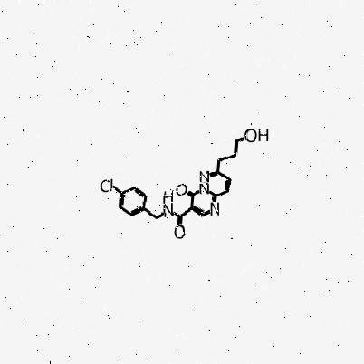 O=C(NCc1ccc(Cl)cc1)c1cnc2ccc(CCCO)nn2c1=O